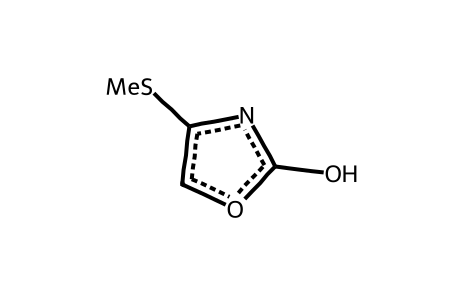 CSc1coc(O)n1